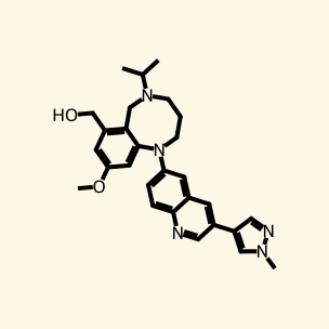 COc1cc(CO)c2c(c1)N(c1ccc3ncc(-c4cnn(C)c4)cc3c1)CCCN(C(C)C)C2